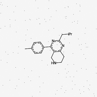 Cc1ccc(-c2nc(CC(C)C)nc3c2CNCC3)cc1